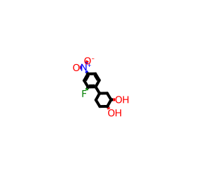 O=[N+]([O-])c1ccc(C2CCC(O)C(O)C2)c(F)c1